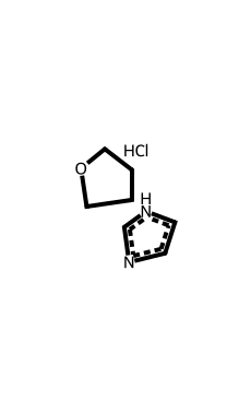 C1CCOC1.Cl.c1c[nH]cn1